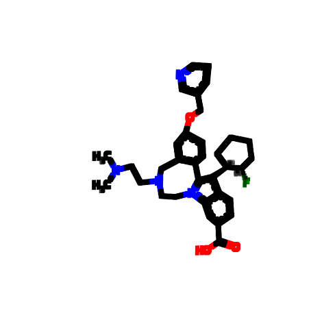 CN(C)CCN1CCn2c(c([C@H]3CCCC[C@@H]3F)c3ccc(C(=O)O)cc32)-c2ccc(OCc3cccnc3)cc2C1